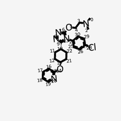 CN(C)CCOc1nnc([C@H]2CC[C@H](Oc3ccccn3)CC2)n1-c1ccc(Cl)cc1